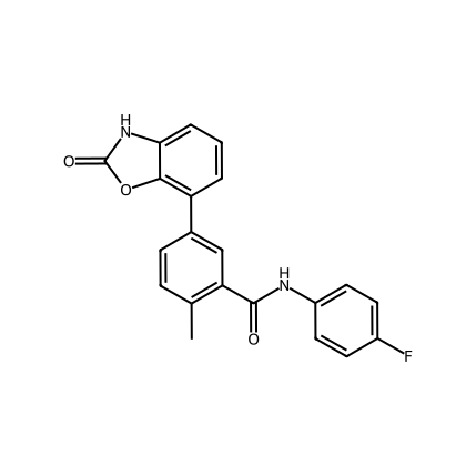 Cc1ccc(-c2cccc3[nH]c(=O)oc23)cc1C(=O)Nc1ccc(F)cc1